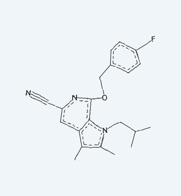 Cc1c(C)n(CC(C)C)c2c(OCc3ccc(F)cc3)nc(C#N)cc12